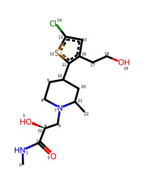 CNC(=O)[C@@H](O)CN1CCC(c2sc(Cl)cc2CCO)CC1C